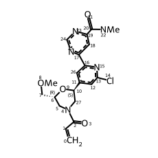 C=CC(=O)N1C[C@H](COC)O[C@@H](c2cc(Cl)nc(-c3cc(C(=O)NC)ncn3)c2)C1